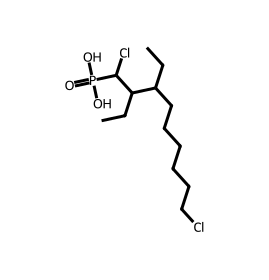 CCC(CCCCCCCl)C(CC)C(Cl)P(=O)(O)O